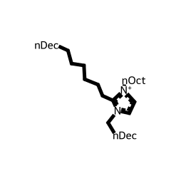 CCCCCCCCCCCCCCCCc1n(CCCCCCCCCCC)cc[n+]1CCCCCCCC